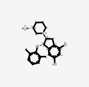 Cc1cccc(C)c1O[C@H]1c2cc(Cl)cc(Cl)c2C[C@@H]1N1CCC[C@@H](N)C1